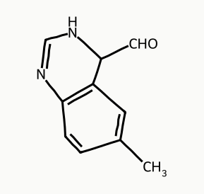 Cc1ccc2c(c1)C(C=O)NC=N2